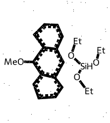 CCO[SiH](OCC)OCC.COc1c2ccccc2cc2ccccc12